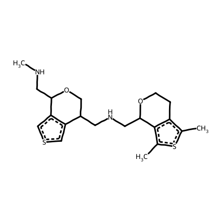 CNCC1OCC(CNCC2OCCc3c(C)sc(C)c32)c2cscc21